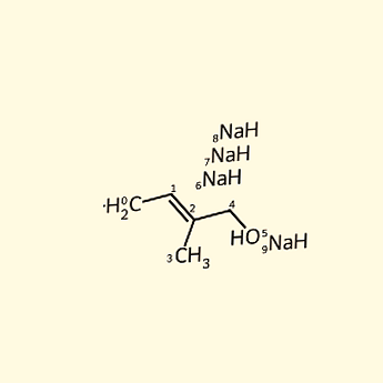 [CH2]/C=C(\C)CO.[NaH].[NaH].[NaH].[NaH]